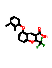 Cc1cccc(Oc2cccc3c2C=C(C(=O)O)C(C(F)(F)F)O3)c1C